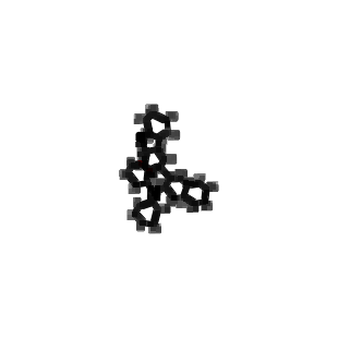 c1ccc(N(c2ccccc2)c2cc3ccccc3cc2-c2ccc3sc4ccccc4c3c2)cc1